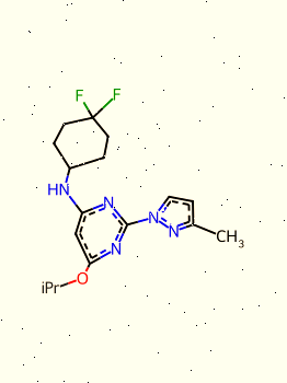 Cc1ccn(-c2nc(NC3CCC(F)(F)CC3)cc(OC(C)C)n2)n1